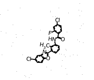 Cc1c(NC(=O)c2ccc(Cl)cc2F)cccc1-c1nc2cc(Cl)ccc2o1